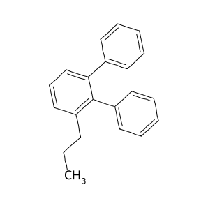 CCCc1cccc(-c2ccccc2)c1-c1ccccc1